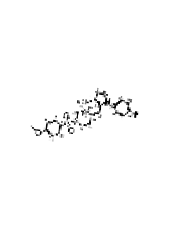 COc1ccc(S(=O)(=O)N2CCC3=Cc4c(cnn4-c4ccc(F)cc4)C[C@]3(C)C2)cc1